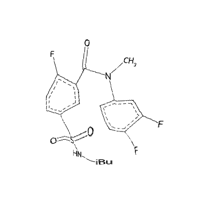 CCC(C)NS(=O)(=O)c1ccc(F)c(C(=O)N(C)c2ccc(F)c(F)c2)c1